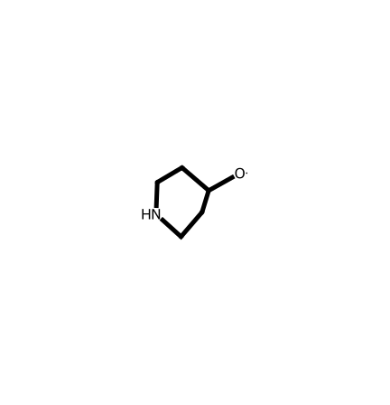 [O]C1CCNCC1